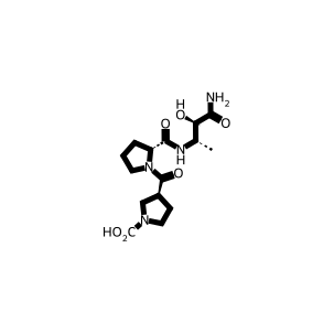 C[C@H](NC(=O)[C@H]1CCCN1C(=O)[C@H]1CCN(C(=O)O)C1)[C@@H](O)C(N)=O